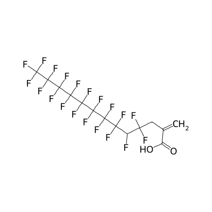 C=C(CC(F)(F)C(F)C(F)(F)C(F)(F)C(F)(F)C(F)(F)C(F)(F)C(F)(F)C(F)(F)C(F)(F)F)C(=O)O